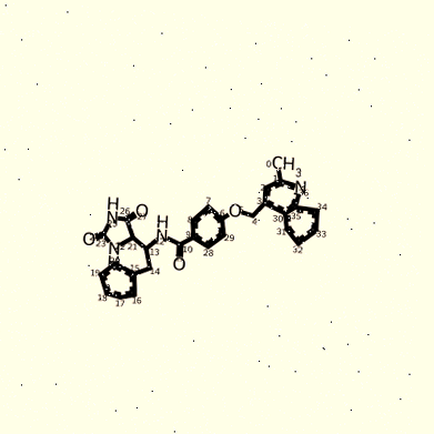 Cc1cc(COc2ccc(C(=O)NC(Cc3ccccc3)C3NC(=O)NC3=O)cc2)c2ccccc2n1